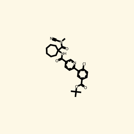 CN(C#N)C(=O)C1(NC(=O)c2ccc(-c3cc(C(=O)OC(C)(C)C)ccc3Cl)nc2)CCCCCC1